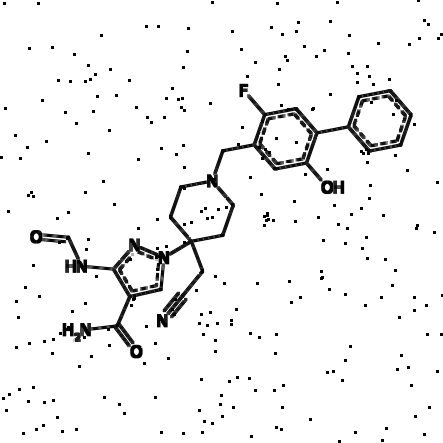 N#CCC1(n2cc(C(N)=O)c(NC=O)n2)CCN(Cc2cc(O)c(-c3ccccc3)cc2F)CC1